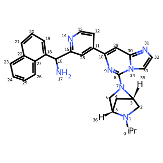 CC(C)N1C[C@@H]2C[C@H]1CN2c1nc(-c2ccnc(C(N)c3cccc4ccccc34)c2)cc2nccn12